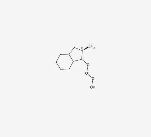 C[C@@H]1CC2CCCCC2C1OOOO